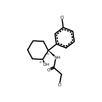 O=C(CCl)N[C@]1(c2cccc(Cl)c2)CCCC[C@@H]1O